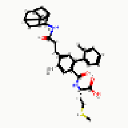 CSCC[C@H](NC(=O)c1ccc(CCC(=O)NC2C3CC4CC(C3)CC2C4)cc1-c1ccccc1C)C(=O)O.[LiH]